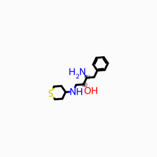 N[C@@H](Cc1ccccc1)[C@H](O)CNC1CCSCC1